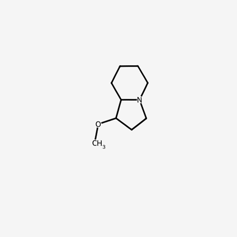 COC1CCN2CCCCC12